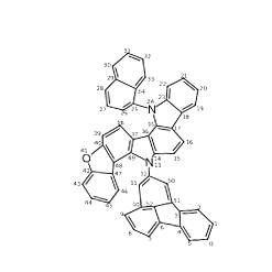 c1ccc2c(c1)-c1cccc3cc(-n4c5ccc6c7ccccc7n(-c7cccc8ccccc78)c6c5c5ccc6oc7ccccc7c6c54)cc-2c13